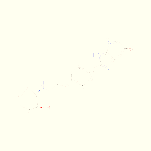 O[C@H]1CCCC[C@H]1NCCOc1ccc(-c2nc3cc(Br)cnc3[nH]2)cc1